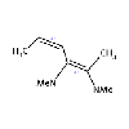 C/C=C\C(NC)=C(/C)NC